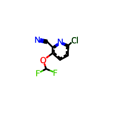 N#Cc1nc(Cl)ccc1OC(F)F